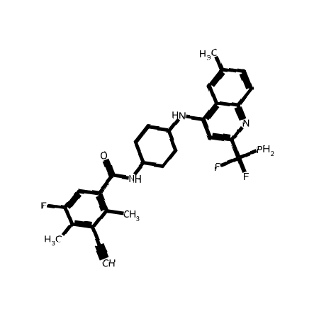 C#Cc1c(C)c(F)cc(C(=O)NC2CCC(Nc3cc(C(F)(F)P)nc4ccc(C)cc34)CC2)c1C